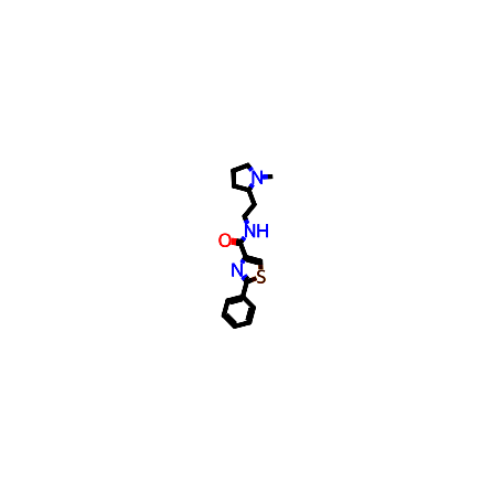 CN1CCCC1CCNC(=O)c1csc(-c2ccccc2)n1